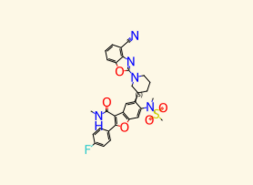 CNC(=O)c1c(-c2ccc(F)cc2)oc2cc(N(C)S(C)(=O)=O)c([C@@H]3CCCN(c4nc5c(C#N)cccc5o4)C3)cc12